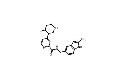 CC1CCNCC1c1ccnc(C(=O)NCc2ccc3[nH]c(C(F)(F)F)cc3c2)n1